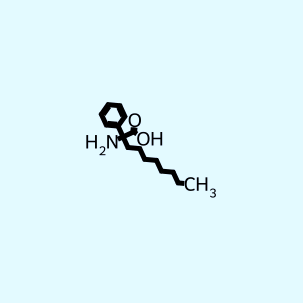 CCCCCCCCC(N)(C(=O)O)c1ccccc1